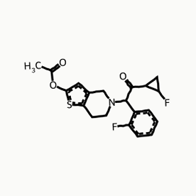 CC(=O)Oc1cc2c(s1)CCN(C(C(=O)C1CC1F)c1ccccc1F)C2